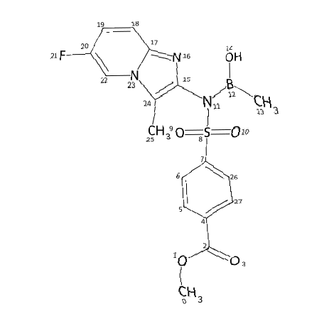 COC(=O)c1ccc(S(=O)(=O)N(B(C)O)c2nc3ccc(F)cn3c2C)cc1